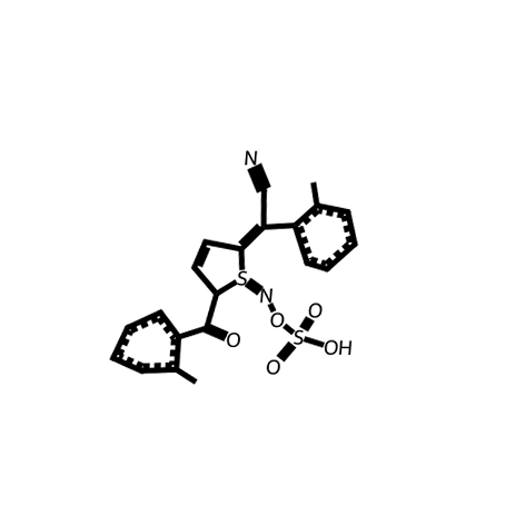 Cc1ccccc1C(=O)C1C=CC(=C(C#N)c2ccccc2C)S1=NOS(=O)(=O)O